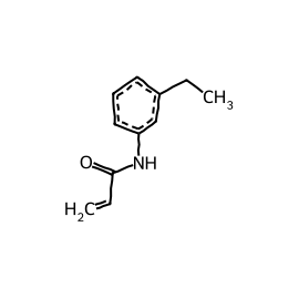 C=CC(=O)Nc1cccc(CC)c1